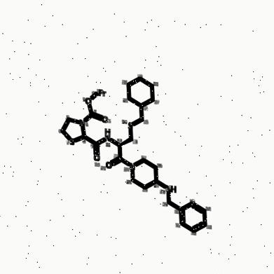 CC(C)OC(=O)N1[CH]CSC1C(=O)N[C@@H](CSCC1CCCCC1)C(=O)N1CCC(NCc2ccccc2)CC1